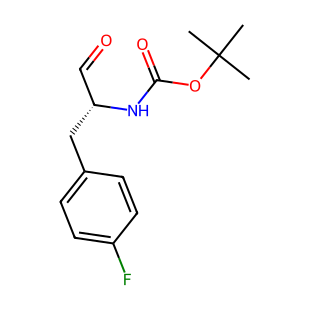 CC(C)(C)OC(=O)N[C@@H](C=O)Cc1ccc(F)cc1